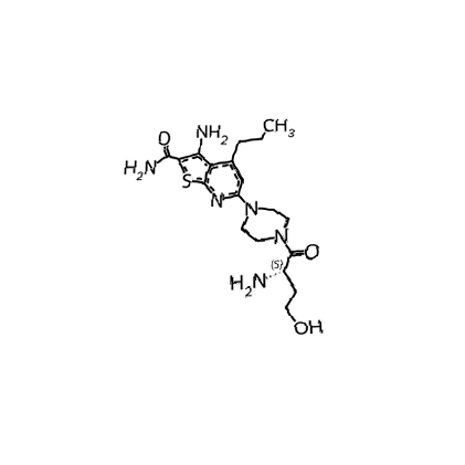 CCCc1cc(N2CCN(C(=O)[C@@H](N)CCO)CC2)nc2sc(C(N)=O)c(N)c12